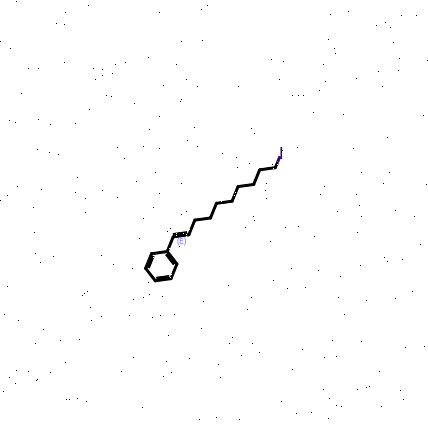 ICCCCCCCC/C=C/c1ccccc1